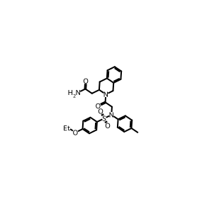 CCOc1ccc(S(=O)(=O)N(CC(=O)N2Cc3ccccc3CC2CC(N)=O)c2ccc(C)cc2)cc1